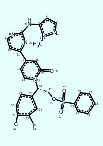 Cn1nccc1Nc1nccc(-c2ccn([C@H](COS(=O)(=O)c3ccccc3)c3ccc(Cl)c(F)c3)c(=O)c2)n1